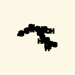 COc1ccc(CC(=O)Nc2ccc(C(=O)N(Cc3ccc(-c4noc(-c5ccc(-c6ccc(C)cc6)cc5)n4)cc3)CC(O)O)cc2)c(C(F)(F)F)c1